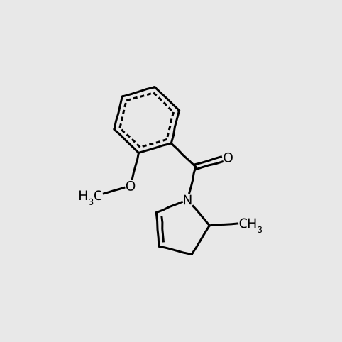 COc1ccccc1C(=O)N1C=CCC1C